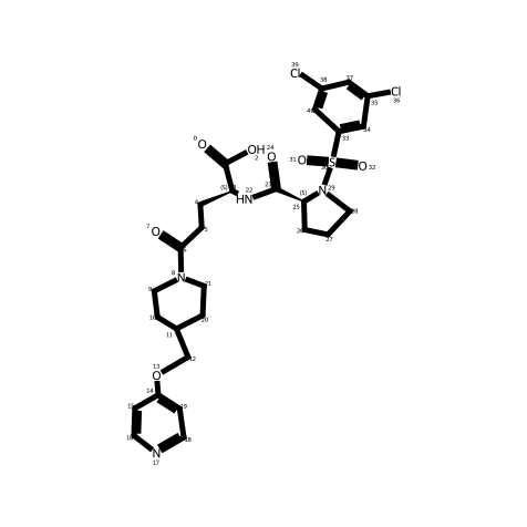 O=C(O)[C@H](CCC(=O)N1CCC(COc2ccncc2)CC1)NC(=O)[C@@H]1CCCN1S(=O)(=O)c1cc(Cl)cc(Cl)c1